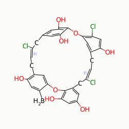 Bc1cc(O)c2cc1Oc1c(O)cc(O)cc1C/C(Cl)=C\Cc1cc(c(Cl)cc1O)Oc1c(O)cc(cc1O)C/C(Cl)=C\C2